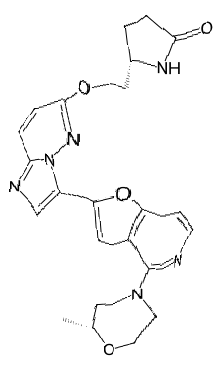 C[C@@H]1CN(c2nccc3oc(-c4cnc5ccc(OC[C@@H]6CCC(=O)N6)nn45)cc23)CCO1